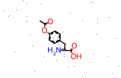 CC(=O)Oc1ccc(C[C@](C)(N)C(=O)O)cc1